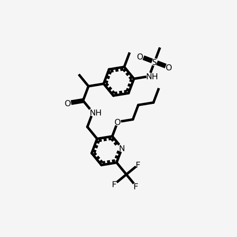 CCCCOc1nc(C(F)(F)F)ccc1CNC(=O)C(C)c1ccc(NS(C)(=O)=O)c(C)c1